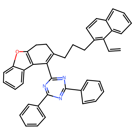 C=Cc1c(CCCC2=C(c3nc(-c4ccccc4)nc(-c4ccccc4)n3)c3c(oc4ccccc34)CC2)ccc2ccccc12